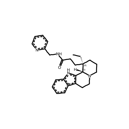 CC[C@]1(CCC(=O)NCc2ccccn2)CCCN2CCc3c([nH]c4ccccc34)[C@@H]21